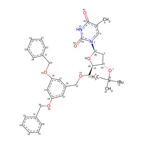 Cc1cn([C@H]2C[C@H](O[Si](C)(C)C(C)(C)C)[C@@H](COCc3cc(OCc4ccccc4)cc(OCc4ccccc4)c3)O2)c(=O)[nH]c1=O